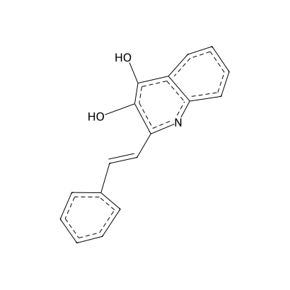 Oc1c(C=Cc2ccccc2)nc2ccccc2c1O